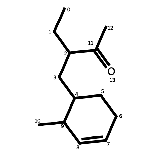 CCC(CC1CCC=CC1C)C(C)=O